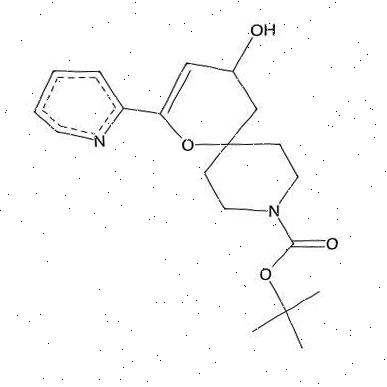 CC(C)(C)OC(=O)N1CCC2(CC1)CC(O)C=C(c1ccccn1)O2